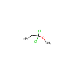 CCCCC(Cl)(Cl)O[SiH3]